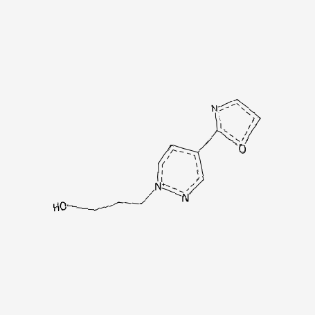 OCCC[n+]1ccc(-c2ncco2)cn1